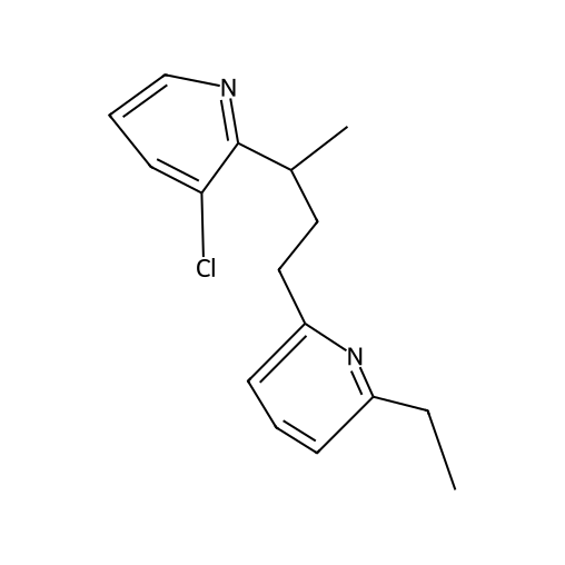 CCc1cccc(CCC(C)c2ncccc2Cl)n1